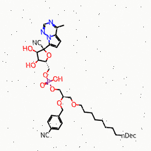 CCCCCCCCCCCCCCCCCCOC[C@H](COP(=O)(O)OC[C@H]1O[C@@](C#N)(c2ccc3c(C)ncnn23)[C@H](O)[C@@H]1O)OCc1ccc(C#N)cc1